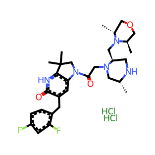 C[C@@H]1CN(CC(=O)N2CC(C)(C)c3[nH]c(=O)c(Cc4ccc(F)cc4F)cc32)[C@@H](CN2[C@H](C)COC[C@H]2C)CN1.Cl.Cl